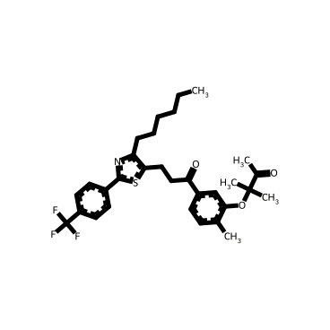 CCCCCCc1nc(-c2ccc(C(F)(F)F)cc2)sc1CCC(=O)c1ccc(C)c(OC(C)(C)C(C)=O)c1